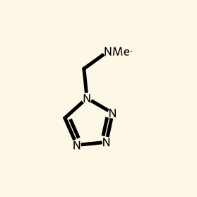 C[N]Cn1cnnn1